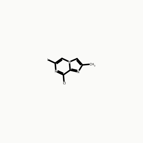 Cc1cn2cc(I)nc(Cl)c2n1